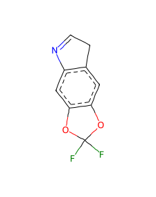 FC1(F)Oc2cc3c(cc2O1)N=CC3